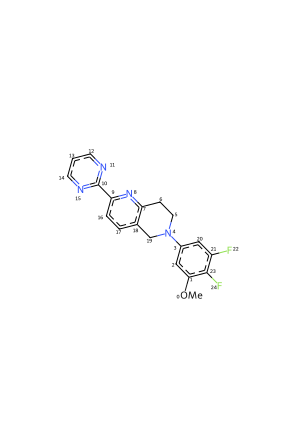 COc1cc(N2CCc3nc(-c4ncccn4)ccc3C2)cc(F)c1F